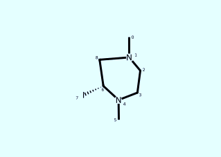 CN1CCN(C)[C@H](I)C1